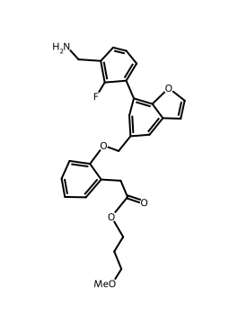 COCCCOC(=O)Cc1ccccc1OCc1cc(-c2cccc(CN)c2F)c2occc2c1